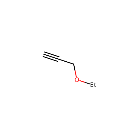 C#CCOC[CH2]